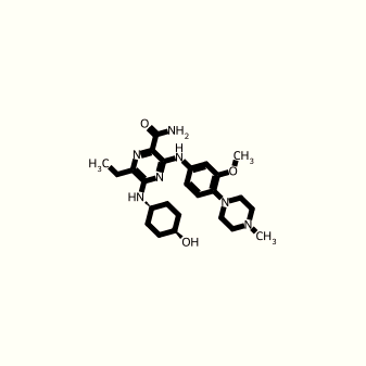 CCc1nc(C(N)=O)c(Nc2ccc(N3CCN(C)CC3)c(OC)c2)nc1N[C@H]1CC[C@H](O)CC1